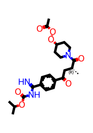 CC(=O)OOC1CCN(C(=O)[C@H](C)CC(=O)c2ccc(C(=N)NC(=O)OC(C)C)cc2)CC1